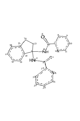 O=C(NC1(NC(=O)c2ccccn2)CCc2ccccc21)c1ccccn1